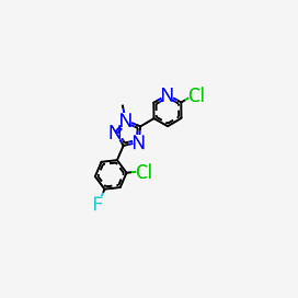 Cn1nc(-c2ccc(F)cc2Cl)nc1-c1ccc(Cl)nc1